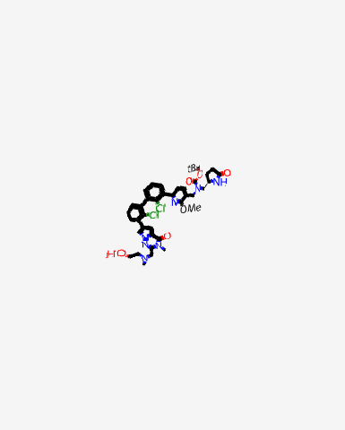 COc1nc(-c2cccc(-c3cccc(-c4cc5c(=O)n(C)c(CN(C)CCO)nn5c4)c3Cl)c2Cl)ccc1CN(C[C@@H]1CCC(=O)N1)C(=O)OC(C)(C)C